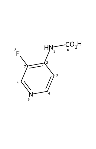 O=C(O)Nc1ccncc1F